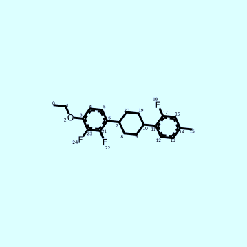 CCOc1ccc(C2CCC(c3ccc(C)cc3F)CC2)c(F)c1F